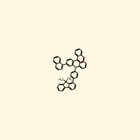 CC1(C)c2ccccc2-c2cccc(-c3ccc(N(c4ccccc4)c4cc(-c5cccc6ccccc56)ccc4-c4cccc5ccccc45)cc3)c21